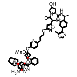 COCOc1ccccc1-c1cc(N2CC3CCC(C2)N3c2ccnc(OC3CC(Oc4ccc(/C=C/COc5cc(C(C(=O)N6C[C@H](O)C[C@H]6C(=O)N[C@@H](C)c6ccc(-c7scnc7C)cc6)C(C)C)on5)nc4)C3)c2)c(N)nn1